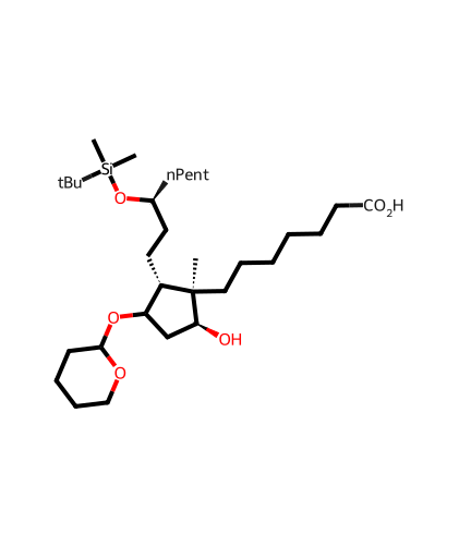 CCCCC[C@@H](CC[C@H]1C(OC2CCCCO2)C[C@H](O)[C@]1(C)CCCCCCC(=O)O)O[Si](C)(C)C(C)(C)C